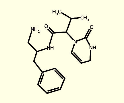 CC(C)C(C(=O)NC(CN)Cc1ccccc1)N1C=CCNC1=O